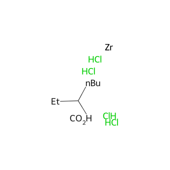 CCCCC(CC)C(=O)O.Cl.Cl.Cl.Cl.[Zr]